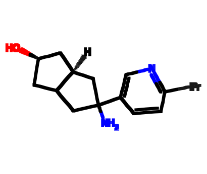 CC(C)c1ccc(C2(N)CC3C[C@@H](O)C[C@H]3C2)cn1